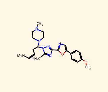 CN/C=C\CC(N1CCN(C)CC1)n1nc(-c2ncc(-c3ccc(OC(F)(F)F)cc3)o2)nc1C